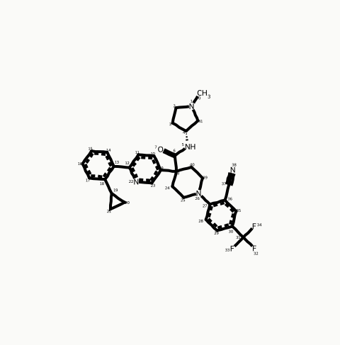 CN1CC[C@@H](NC(=O)C2(c3ccc(-c4ccccc4C4CC4)nc3)CCN(c3ccc(C(F)(F)F)cc3C#N)CC2)C1